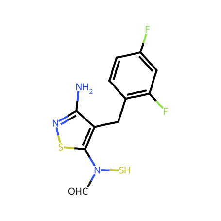 Nc1nsc(N(S)C=O)c1Cc1ccc(F)cc1F